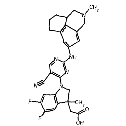 CN1Cc2cc(Nc3ncc(C#N)c(N4CC(C)(CC(=O)O)c5cc(F)c(F)cc54)n3)cc3c2C(CCC3)C1